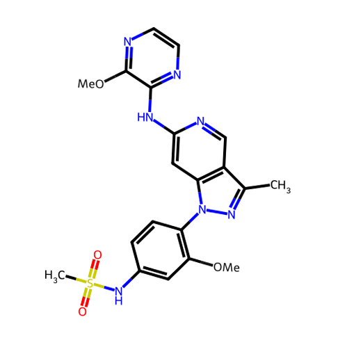 COc1cc(NS(C)(=O)=O)ccc1-n1nc(C)c2cnc(Nc3nccnc3OC)cc21